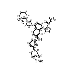 C=CC(=O)N1CCC[C@@H]1c1ccc(N2CC[C@@H]([C@H]3CCCCS3(=O)=O)C2)c2cnc(Nc3ccnc(N4CC[C@@H](OC)[C@@H](F)C4)n3)cc12